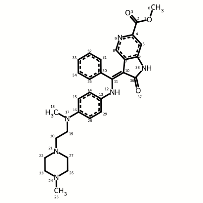 COC(=O)c1cc2c(cn1)/C(=C(/Nc1ccc(N(C)CCN3CCN(C)CC3)cc1)c1ccccc1)C(=O)N2